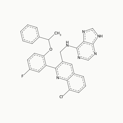 CC(Oc1ccc(F)cc1-c1nc2c(Cl)cccc2cc1CNc1ncnc2[nH]cnc12)c1ccccc1